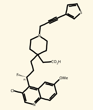 COc1ccc2ncc(Cl)c([C@H](F)CCC3(CC(=O)O)CCN(CC#Cc4ccsc4)CC3)c2c1